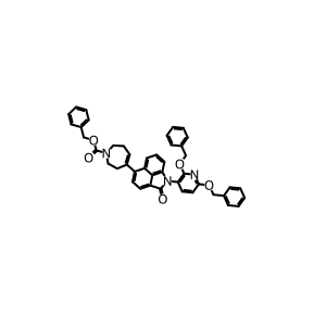 O=C(OCc1ccccc1)N1CCC=C(c2ccc3c4c(cccc24)N(c2ccc(OCc4ccccc4)nc2OCc2ccccc2)C3=O)CC1